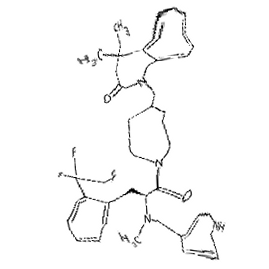 CN(c1cc[nH]c1)[C@@H](Cc1ccccc1C(F)(F)F)C(=O)N1CCC(N2C(=O)C(C)(C)c3ccccc32)CC1